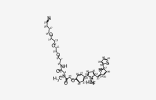 CN(CC(=O)NCCCOCCOCCOCCCC#N)C(=O)COc1ccc(-c2ccc(/C=C3/C=CC(c4cccs4)=N3)n2BF)cc1